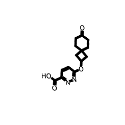 O=C1CCC2(CC1)CC(Oc1ccc(C(=O)O)nn1)C2